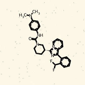 CN(C)c1ccc(NC(=O)N2CCC[C@@H](c3nc(-c4ccccc4C(F)F)c4ccccn34)C2)cc1